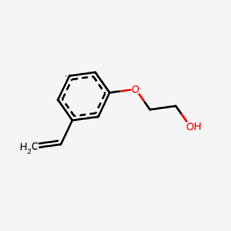 C=Cc1c[c]cc(OCCO)c1